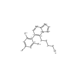 Fc1cc(F)c(-c2cnc3ncnn3c2CCCCCl)c(F)c1